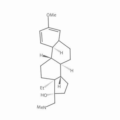 CC[C@]12CC[C@H]3[C@@H](CCC4C=C(OC)C=C[C@@H]43)[C@@H]1CC[C@@]2(O)CNC